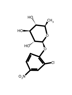 C[C@H]1O[C@@H](Oc2ccc([N+](=O)[O-])cc2Cl)[C@H](O)[C@@H](O)[C@@H]1O